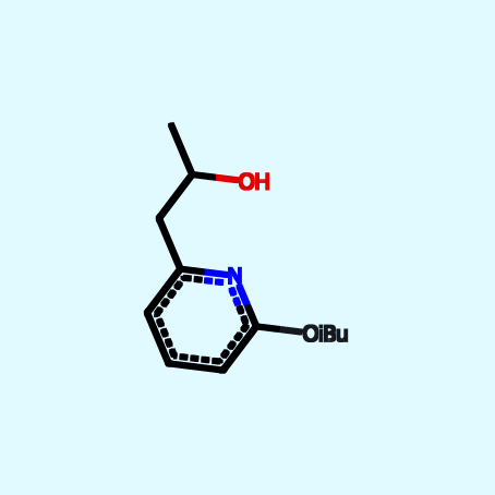 CC(C)COc1cccc(CC(C)O)n1